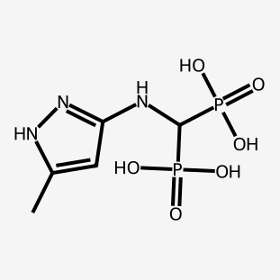 Cc1cc(NC(P(=O)(O)O)P(=O)(O)O)n[nH]1